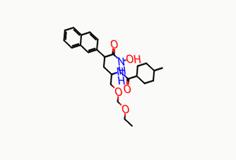 CCOCOCC(CC(C(=O)NO)c1ccc2ccccc2c1)NC(=O)C1CCC(C)CC1